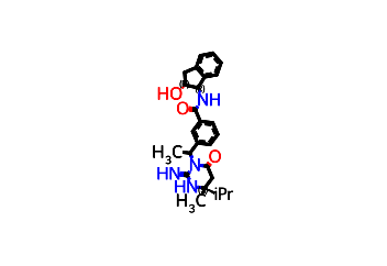 CC(c1cccc(C(=O)N[C@@H]2c3ccccc3C[C@H]2O)c1)N1C(=N)N[C@](C)(C(C)C)CC1=O